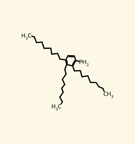 CCCCCCCCCc1ccc(P)c(CCCCCCCCC)c1CCCCCCCCC